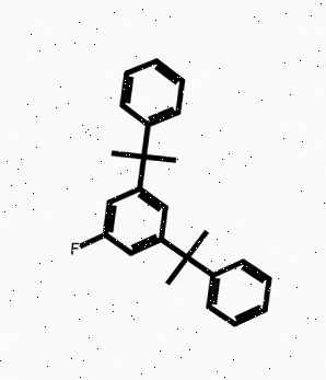 CC(C)(c1ccccc1)c1cc(F)cc(C(C)(C)c2ccccc2)c1